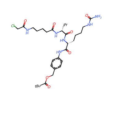 CC(C)[C@@H](NC(=O)CCCCNC(=O)CCl)C(=O)N[C@H](CCCCNC(N)=O)C(=O)Nc1ccc(COC(=O)C(C)(C)C)cc1